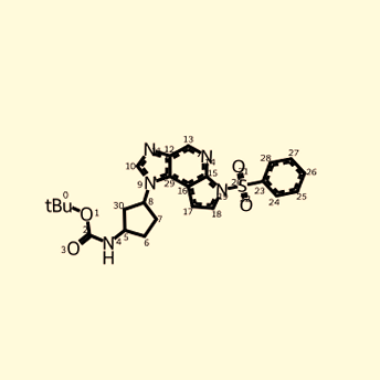 CC(C)(C)OC(=O)NC1CCC(n2cnc3cnc4c(ccn4S(=O)(=O)c4ccccc4)c32)C1